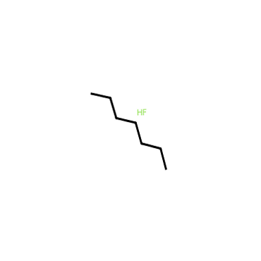 CCCCCCC.F